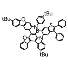 CC(C)(C)c1ccc(N2B3c4cc5sc(-c6ccccc6)c(-c6ccccc6)c5cc4-n4c5ccc(C(C)(C)C)cc5c5c6c(oc7ccccc76)c(c3c54)-c3cc4c(cc32)oc2cc(C(C)(C)C)ccc24)cc1